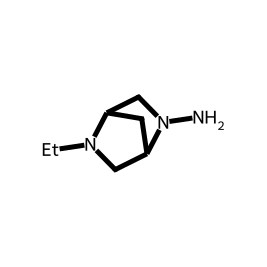 CCN1CC2CC1CN2N